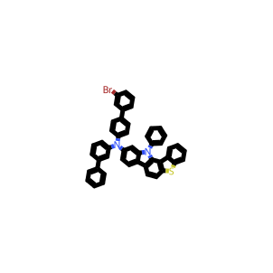 Brc1cccc(-c2ccc(N(c3cccc(-c4ccccc4)c3)c3ccc4c5ccc6sc7ccccc7c6c5n(-c5ccccc5)c4c3)cc2)c1